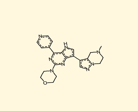 CN1CCn2ncc(-c3c[nH]c4c(-c5ccncc5)nc(N5CCOCC5)nc34)c2C1